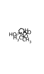 CC1(C)OC(=O)[C@@H]2CCC[C@@H](CO)N21